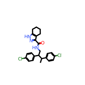 CC(c1ccc(Cl)cc1)C(CNC(=O)c1n[nH]c2c1CCCC2)c1ccc(Cl)cc1